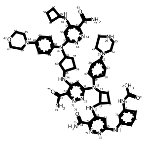 CC(=O)Nc1cccc(Nc2cc(NC3CCC3N(c3ccc(N4CCNCC4)cc3)c3cc(NC4CCC(N(c5ccc(N6CCOCC6)cc5)c5cc(NC6CCC6)c(C(N)=O)nn5)C4)c(C(N)=O)nn3)c(C(N)=O)nn2)c1